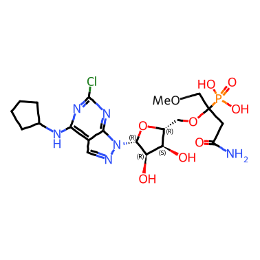 COCC(CC(N)=O)(OC[C@H]1O[C@@H](n2ncc3c(NC4CCCC4)nc(Cl)nc32)[C@H](O)[C@@H]1O)P(=O)(O)O